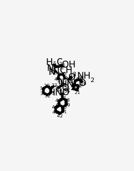 CC(C)(O)c1cnnn1[C@H]1C[C@@H](C(=O)NC2(CC(N)=O)CCC2)N(C(=O)[C@@H](CC2CCCCC2)NC(=O)c2ccc3ccccc3c2)C1